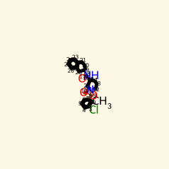 Cc1c(Cl)cccc1S(=O)(=O)N1CCC[C@H](C(=O)NC2CCc3ccccc3C2)C1